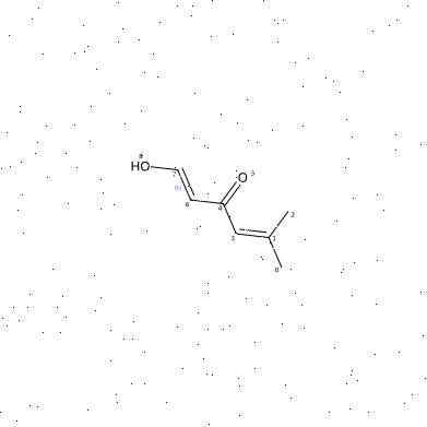 CC(C)=CC(=O)/C=C/O